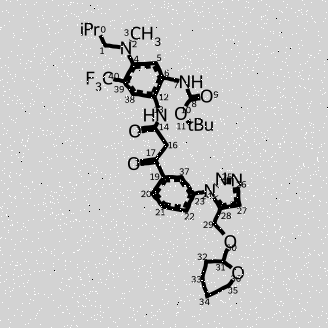 CC(C)CN(C)c1cc(NC(=O)OC(C)(C)C)c(NC(=O)CC(=O)c2cccc(-n3nncc3COC3CCCCO3)c2)cc1C(F)(F)F